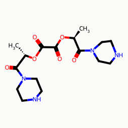 C[C@H](OC(=O)C(=O)O[C@@H](C)C(=O)N1CCNCC1)C(=O)N1CCNCC1